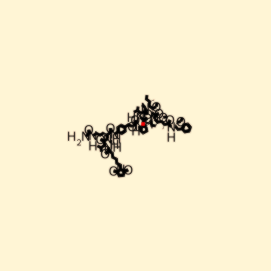 CC[C@H](C)[C@@H]([C@@H](CC(=O)N1CCC[C@H]1[C@H](OC)[C@@H](C)C(=O)N[C@H](COC)Cc1ccccc1)OC)N(C)C(=O)[C@@H](NC(=O)C1[C@H]2CC[C@H](C2)N1C(=O)OCc1ccc(NC(=O)[C@H](CCCNC(N)=O)NC(=O)[C@@H](NC(=O)CCCCCN2C(=O)C=CC2=O)C(C)C)cc1)C(C)C